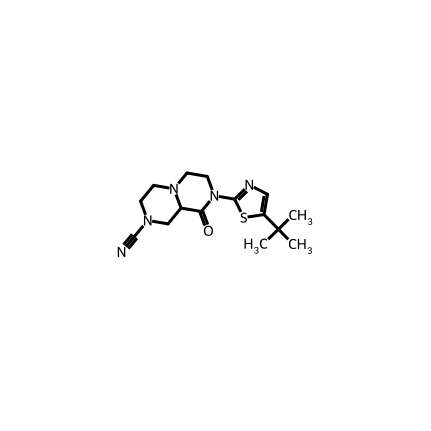 CC(C)(C)c1cnc(N2CCN3CCN(C#N)CC3C2=O)s1